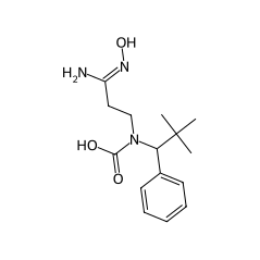 CC(C)(C)C(c1ccccc1)N(CCC(N)=NO)C(=O)O